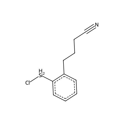 N#CCCCc1ccccc1[SiH2]Cl